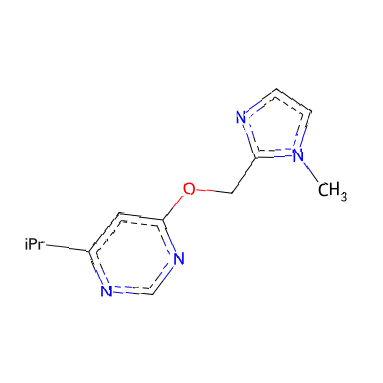 CC(C)c1cc(OCc2nccn2C)ncn1